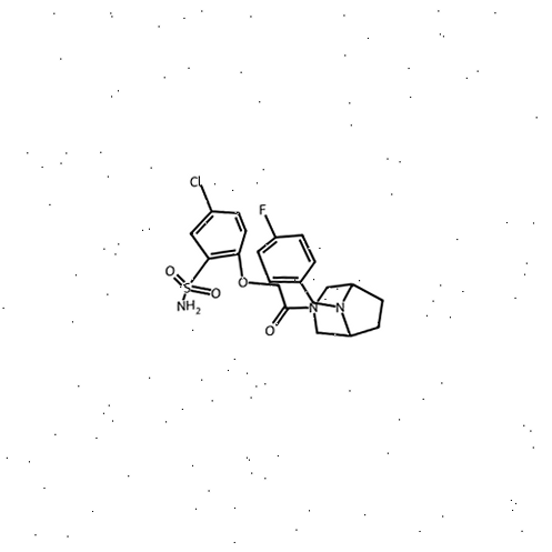 NS(=O)(=O)c1cc(Cl)ccc1OCC(=O)N1CC2CCC(C1)N2Cc1ccc(F)cc1